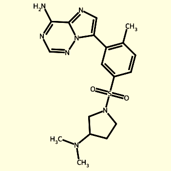 Cc1ccc(S(=O)(=O)N2CCC(N(C)C)C2)cc1-c1cnc2c(N)ncnn12